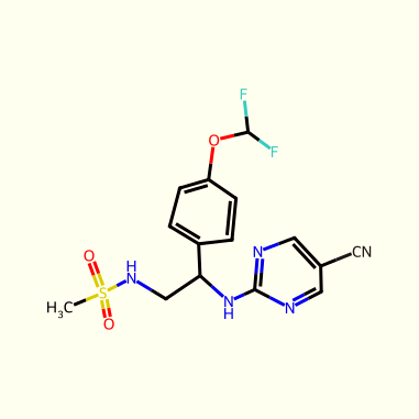 CS(=O)(=O)NCC(Nc1ncc(C#N)cn1)c1ccc(OC(F)F)cc1